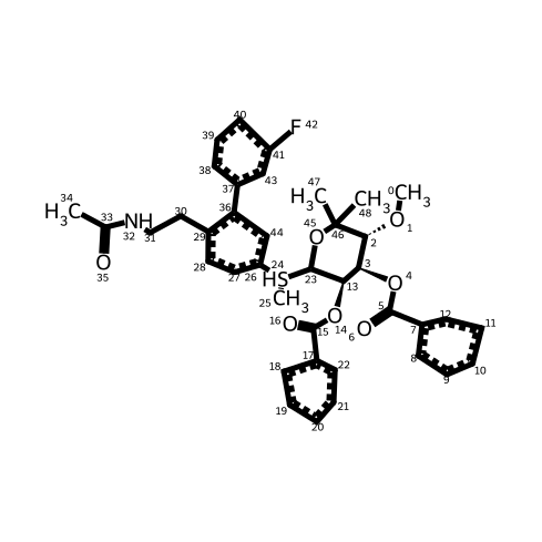 CO[C@@H]1[C@@H](OC(=O)c2ccccc2)[C@@H](OC(=O)c2ccccc2)C([SH](C)c2ccc(CCNC(C)=O)c(-c3cccc(F)c3)c2)OC1(C)C